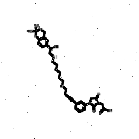 CC1(C)OCc2cc([C@@H](O)CNCCCCCCOCCC#Cc3cccc(N4CC(=O)N(CC(=O)O)C4=O)c3)ccc2O1